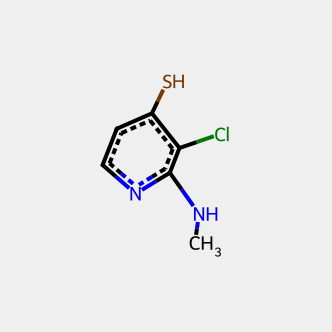 CNc1nccc(S)c1Cl